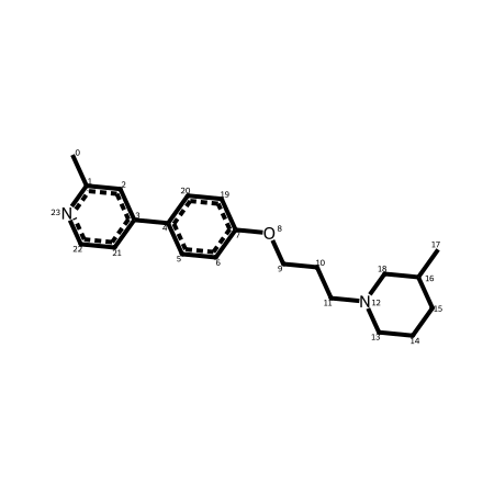 Cc1cc(-c2ccc(OCCCN3CCCC(C)C3)cc2)ccn1